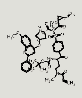 C=CC(=O)N(C)CCC(NC(=O)OC(C)(C)C)C(=O)c1ccc(S(=O)(=O)N(C(=O)[C@@H]2C[C@@H](Oc3cc(-c4ccccc4)nc4cc(OC)ccc34)CN2)C(=O)[C@@]2(N)C[C@H]2C=C)cc1